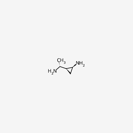 C[C@@H](N)[C@@H]1C[C@@H]1N